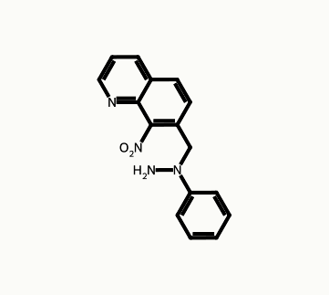 NN(Cc1ccc2cccnc2c1[N+](=O)[O-])c1ccccc1